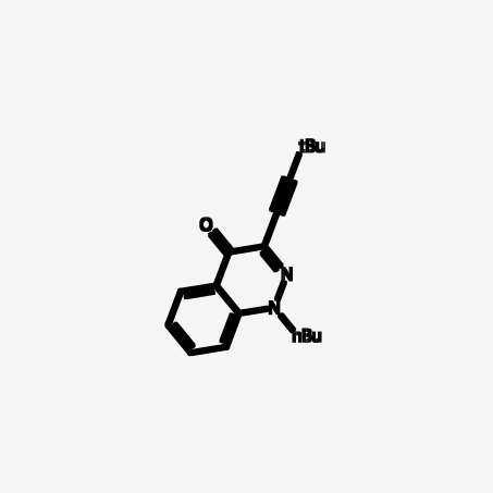 CCCCn1nc(C#CC(C)(C)C)c(=O)c2ccccc21